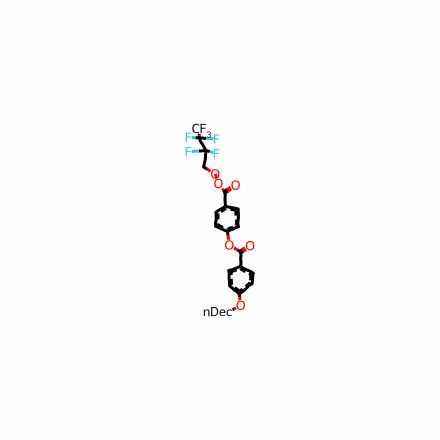 CCCCCCCCCCOc1ccc(C(=O)Oc2ccc(C(=O)OOCC(F)(F)C(F)(F)C(F)(F)F)cc2)cc1